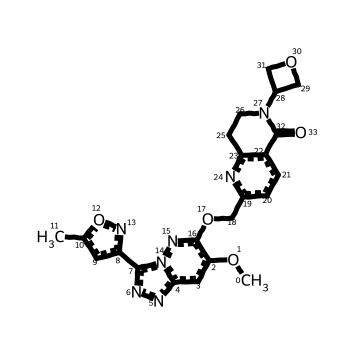 COc1cc2nnc(-c3cc(C)on3)n2nc1OCc1ccc2c(n1)CCN(C1COC1)C2=O